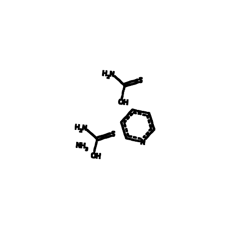 N.NC(O)=S.NC(O)=S.c1ccncc1